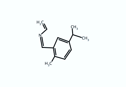 C=C/N=C\c1cc(C(C)C)ccc1C